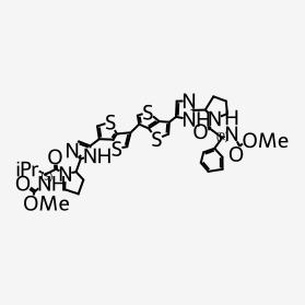 COC(=O)N[C@H](C(=O)N1CCCC1c1ncc(-c2csc3c(-c4csc5c(-c6cnc(C7CCCN7C(=O)[C@H](NC(=O)OC)c7ccccc7)[nH]6)csc45)csc23)[nH]1)C(C)C